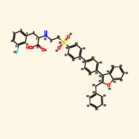 O=C(O)C(Cc1cccc(F)c1)NCCS(=O)(=O)c1ccc(-c2ccc(-c3c(Cc4ccccc4)oc4ccccc34)cc2)cc1